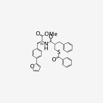 COC(=O)[C@H](Cc1ccc(-c2ccco2)cc1)NC(=O)C(CSC(=O)c1ccccc1)Cc1ccccc1